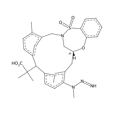 Cc1ccc2cc1CN1C[C@@H](Cc3c(N(C)N=N)ccc(c3C)C2C(C)(C)C(=O)O)Oc2ccccc2S1(=O)=O